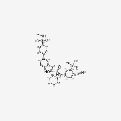 CNS(=O)(=O)c1ccc(-c2cccc(CC(O)(C(=O)Nc3ccc(C#N)c(C(F)(F)F)c3)C3CCCCC3)c2)cc1